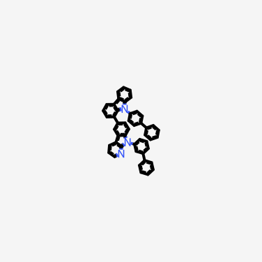 c1ccc(-c2ccc(-n3c4ccccc4c4cccc(-c5ccc6c(c5)c5cccnc5n6-c5cccc(-c6ccccc6)c5)c43)cc2)cc1